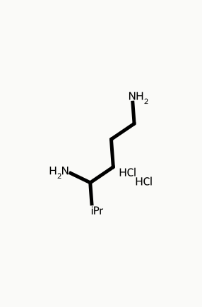 CC(C)C(N)CCCN.Cl.Cl